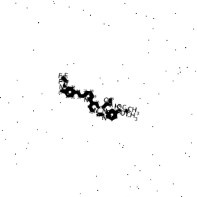 CC(C)(C)OC(=O)c1ccc2nc(CN3CCC(c4cccc(CCc5ccc6cnn(CC(F)(F)F)c6c5)n4)CC3)n(CC3CCO3)c2c1